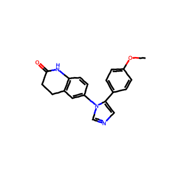 COc1ccc(-c2cncn2-c2ccc3c(c2)CCC(=O)N3)cc1